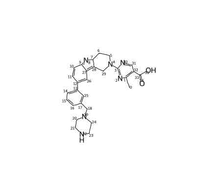 Cc1nc(N2CCC3N=c4ccc(-c5cccc(CN6CCNCC6)c5)cc4=C3C2)ncc1C(=O)O